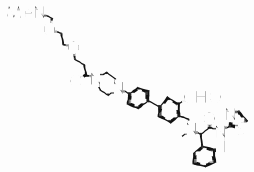 CNCOCCOCCC(=O)N1CCN(c2ccc(-c3ccc(CN(C)C(C(=O)Nc4nccs4)c4ccccc4)c(C=O)c3)cc2)CC1